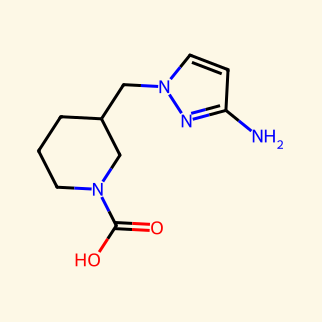 Nc1ccn(CC2CCCN(C(=O)O)C2)n1